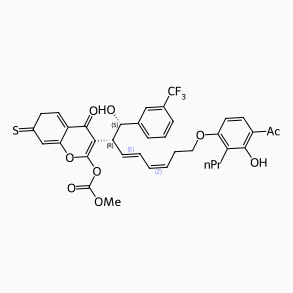 CCCc1c(OCC/C=C\C=C\[C@H](c2c(OC(=O)OC)oc3c(c2=O)=CCC(=S)C=3)[C@H](O)c2cccc(C(F)(F)F)c2)ccc(C(C)=O)c1O